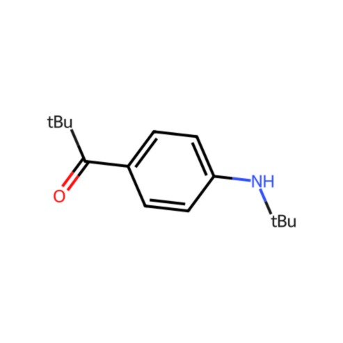 CC(C)(C)Nc1ccc(C(=O)C(C)(C)C)cc1